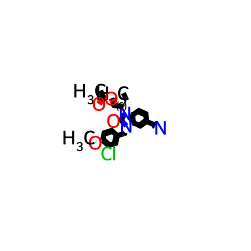 CC[C@@H](COC(C)=O)n1c(=O)n(Cc2ccc(OC)c(Cl)c2)c2cc(C#N)ccc21